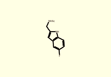 CC(=O)NCc1cc2cc(F)ccc2[nH]1